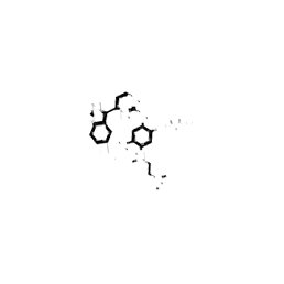 COc1cc(N(C)CCN(C)C)c(N)cc1Nc1nccc(-c2noc3ccccc23)n1